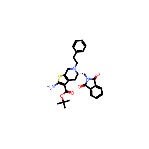 CC(C)(C)OC(=O)c1c(N)sc2c1C[C@@H](CN1C(=O)c3ccccc3C1=O)N(CCc1ccccc1)C2